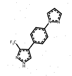 FC(F)(F)c1n[nH]cc1-c1ccc(-n2cccn2)cc1